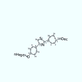 CCCCCCCCCCc1ccc(-c2nc(-c3ccc(OCCCCCCC)cc3)cs2)cc1